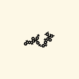 Cc1cc(C)cc(N(c2ccc(C)cc2C)c2cc3c(c4ccccc24)-c2cc4c(cc2C3(C)C)-c2cc(CC(C)(C)c3ccc(N(c5ccc(C(C)(C)C)cc5)c5cc6c(c7ccccc57)-c5cc7c(cc5C6(C)C)-c5ccccc5C7(C)C)cc3)ccc2C4(C)C)c1